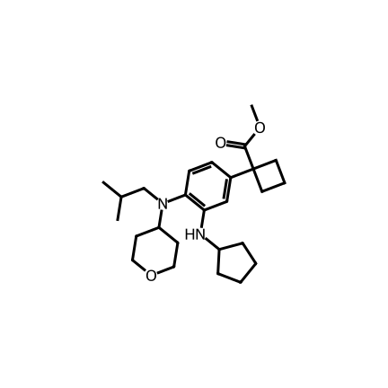 COC(=O)C1(c2ccc(N(CC(C)C)C3CCOCC3)c(NC3CCCC3)c2)CCC1